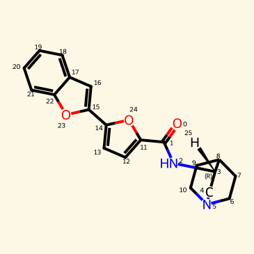 O=C(N[C@H]1CN2CCC1CC2)c1ccc(-c2cc3ccccc3o2)o1